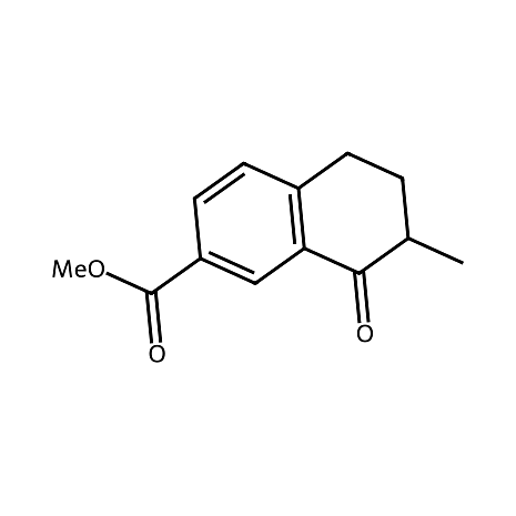 COC(=O)c1ccc2c(c1)C(=O)C(C)CC2